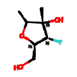 CC1O[C@H](CO)[C@@H](F)[C@@]1(C)O